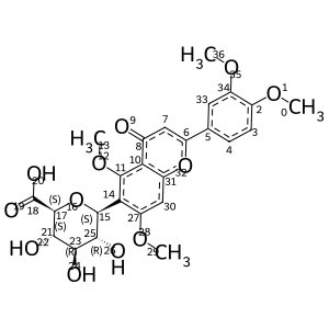 COc1ccc(-c2cc(=O)c3c(OC)c([C@@H]4O[C@H](C(=O)O)[C@@H](O)[C@H](O)[C@H]4O)c(OC)cc3o2)cc1OC